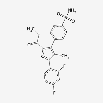 CCC(=O)c1sc(-c2ccc(F)cc2F)c(C)c1-c1ccc(S(N)(=O)=O)cc1